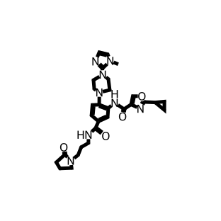 Cn1ccnc1N1CCN(c2ccc(C(=O)NCCCN3CCCC3=O)cc2NC(=O)c2coc(C3CC3)n2)CC1